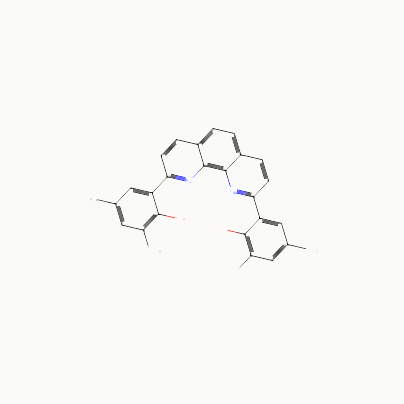 CC(C)(C)c1cc(C=O)c(O)c(-c2ccc3ccc4ccc(-c5cc(C(C)(C)C)cc(C=O)c5O)nc4c3n2)c1